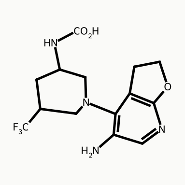 Nc1cnc2c(c1N1CC(NC(=O)O)CC(C(F)(F)F)C1)CCO2